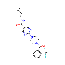 CC(C)CCNC(=O)c1cnc(N2CCN(C(=O)c3ccccc3C(F)(F)F)CC2)nc1